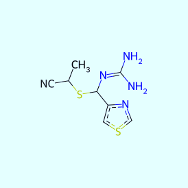 CC(C#N)SC(N=C(N)N)c1cscn1